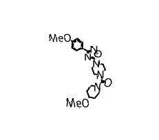 COc1ccc(-c2noc(N3CCN(C(=O)N4CCC(OC)CC4)CC3)n2)cc1